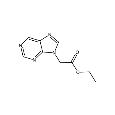 CCOC(=O)Cn1cnc2cncnc21